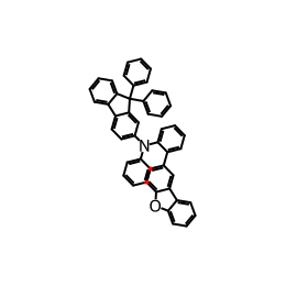 c1ccc(N(c2ccc3c(c2)C(c2ccccc2)(c2ccccc2)c2ccccc2-3)c2ccccc2-c2ccc3oc4ccccc4c3c2)cc1